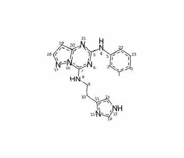 c1ccc(Nc2nc(NCCc3c[nH]cn3)n3nccc3n2)cc1